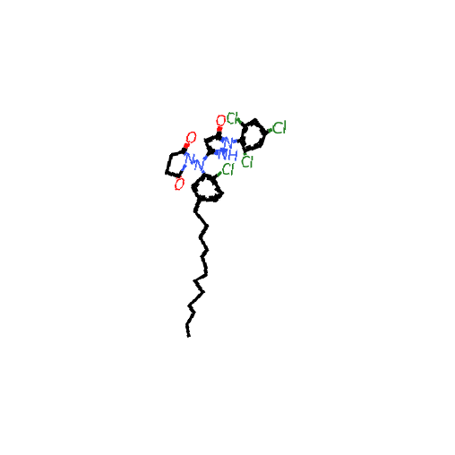 CCCCCCCCCCCCc1ccc(Cl)c(N(c2cc(=O)n(-c3c(Cl)cc(Cl)cc3Cl)[nH]2)N2C(=O)CCC2=O)c1